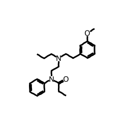 CCCN(CCc1cccc(OC)c1)CCN(C(=O)CC)c1ccccc1